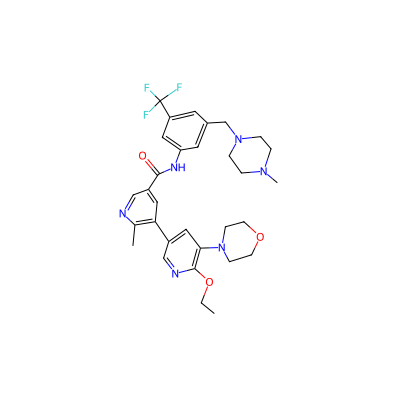 CCOc1ncc(-c2cc(C(=O)Nc3cc(CN4CCN(C)CC4)cc(C(F)(F)F)c3)cnc2C)cc1N1CCOCC1